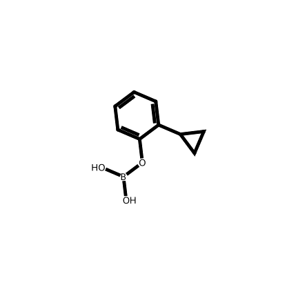 OB(O)Oc1ccccc1C1CC1